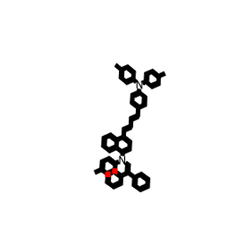 Cc1ccc(N(C=C(c2ccccc2)c2ccccc2)c2ccc(/C=C/C=C/c3ccc(N(c4ccc(C)cc4)c4ccc(C)cc4)cc3)c3ccccc23)cc1